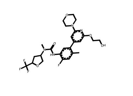 Cc1cc(F)c(NC(=O)N(C)C2COC(C(F)(F)F)C2)cc1-c1cc(OCCO)nc(N2CCOCC2)c1